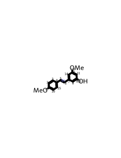 COc1ccc(/C=C/c2cc(O)cc(OC)c2)cc1